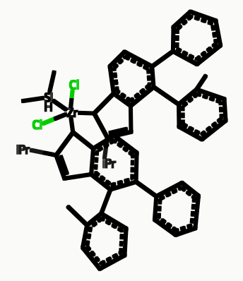 Cc1ccccc1-c1c(-c2ccccc2)ccc2c1C=C(C(C)C)[CH]2[Zr]([Cl])([Cl])([CH]1C(C(C)C)=Cc2c1ccc(-c1ccccc1)c2-c1ccccc1C)[SiH](C)C